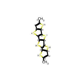 Cc1cc2sc3c(sc4c5sc6cc(C)sc6c5sc34)c2s1